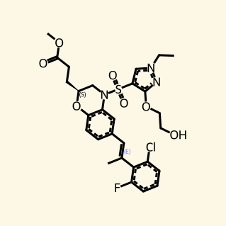 CCn1cc(S(=O)(=O)N2C[C@H](CCC(=O)OC)Oc3ccc(/C=C(\C)c4c(F)cccc4Cl)cc32)c(OCCO)n1